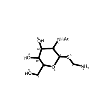 CC(=O)NC1C(SCN)OC(CO)C(O)C1O